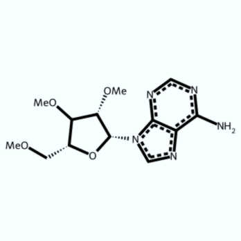 COC[C@H]1O[C@@H](n2cnc3c(N)ncnc32)[C@@H](OC)C1OC